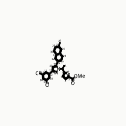 COC(=O)c1ccc(C(C)n2nc(-c3cc(Cl)cc(Cl)c3)cc2-c2ccc3cc(C)ccc3c2)s1